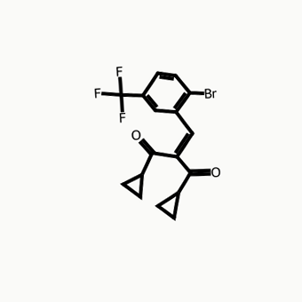 O=C(C(=Cc1cc(C(F)(F)F)ccc1Br)C(=O)C1CC1)C1CC1